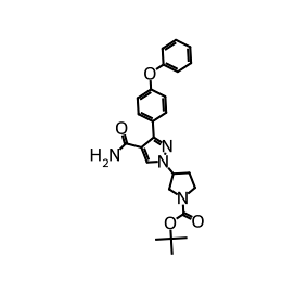 CC(C)(C)OC(=O)N1CCC(n2cc(C(N)=O)c(-c3ccc(Oc4ccccc4)cc3)n2)C1